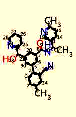 Cc1ccc(-c2cc(C(=O)N[C@H](C)c3ccc(C)nc3)cc(C(O)c3ccccn3)c2)c(C#N)c1